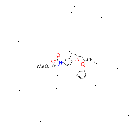 COC[C@H]1CN(c2ccc3c(c2)CCC(CC(OCc2ccccc2)C(F)(F)F)O3)C(=O)O1